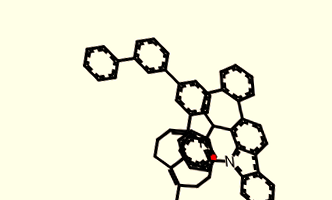 C/C1=C(/c2ccccc2)CC/C=C(c2cccc(-c3cccc(-c4ccccc4)c3)c2)\N=C(\n2c3ccccc3c3ccc4c(c32)C(c2ccccc2)CCc2ccccc2-4)CC1